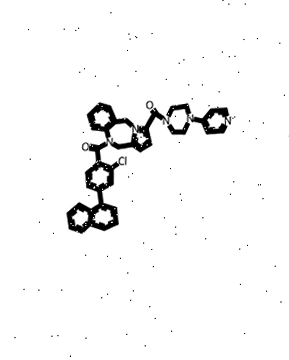 O=C(c1ccc2n1Cc1ccccc1N(C(=O)c1ccc(-c3cccc4ccccc34)cc1Cl)C2)N1CCN(c2ccncc2)CC1